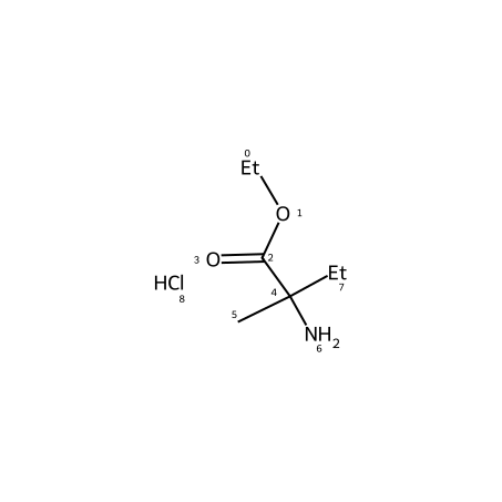 CCOC(=O)C(C)(N)CC.Cl